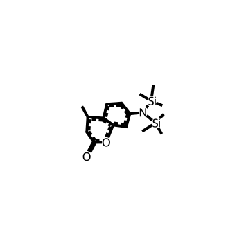 Cc1cc(=O)oc2cc(N([Si](C)(C)C)[Si](C)(C)C)ccc12